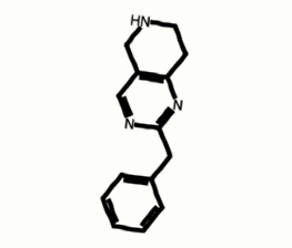 c1ccc(Cc2ncc3c(n2)CCNC3)cc1